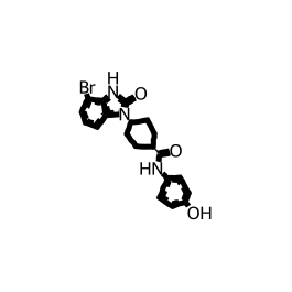 O=c1[nH]c2c(Br)cccc2n1[C@H]1CC[C@@H](C(=O)Nc2ccc(O)cc2)CC1